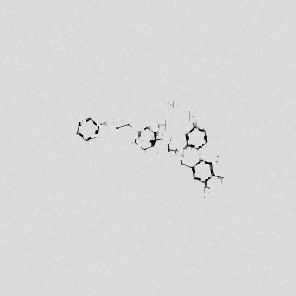 O=C(O[C@H]1C[N+]2(CCOc3ccccc3)CCC1CC2)N(Cc1cc(F)c(F)c(F)c1)c1cccc(F)c1.[Br-]